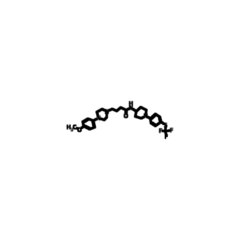 COc1ccc(N2CCN(CCCC(=O)NC3CCN(c4ccc(SC(F)(F)F)cc4)CC3)CC2)cc1